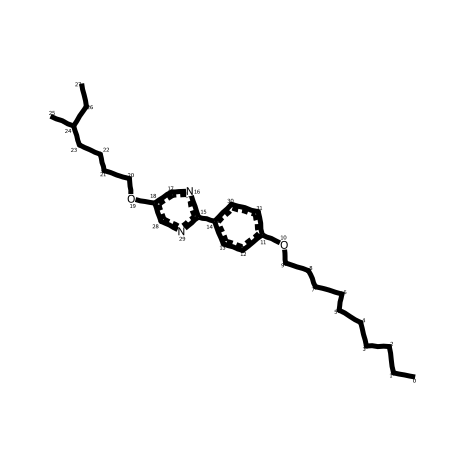 CCCCCCCCCCOc1ccc(-c2ncc(OCCCCC(C)CC)cn2)cc1